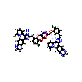 Cc1cccc(-c2[nH]c(Cc3ccc(F)c(OCC(=O)OC(Oc4cc(Cc5nc(-c6ccc7nccnc7c6)c(-c6cccc(C)n6)[nH]5)ccc4F)C(N)=O)c3)nc2-c2ccc3nccnc3c2)n1